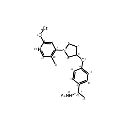 CCOc1cc(N2CCC(Oc3ccc([C@H](C)NC(C)=O)cc3)C2)c(C)cn1